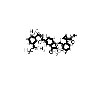 Cc1c(C)n(Cc2ccccc2C2(C(=O)O)CC2)c2ccc(C(=O)NC(C)c3cccc(C(C)C)c3)cc12